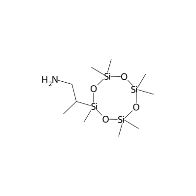 CC(CN)[Si]1(C)O[Si](C)(C)O[Si](C)(C)O[Si](C)(C)O1